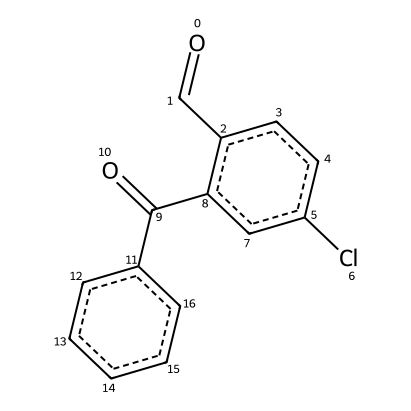 O=Cc1ccc(Cl)cc1C(=O)c1ccccc1